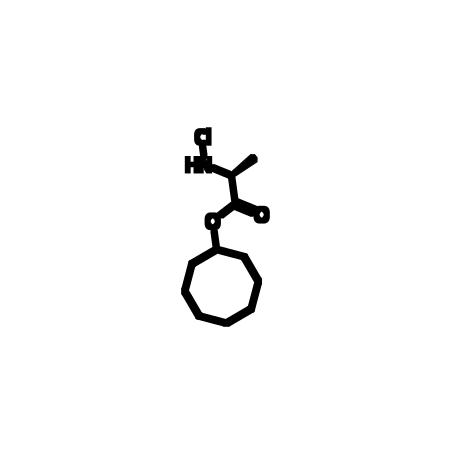 C[C@H](NCl)C(=O)OC1CCCCCCC1